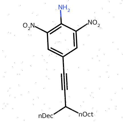 CCCCCCCCCCC(C#Cc1cc([N+](=O)[O-])c(N)c([N+](=O)[O-])c1)CCCCCCCC